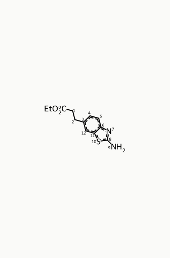 CCOC(=O)CCc1ccc2nc(N)sc2c1